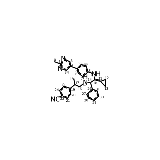 Cc1ncc(-c2ccc(NC(=C3CC3)C(NCC(C)c3ccc(C#N)cc3)c3ccccc3)cc2)cn1